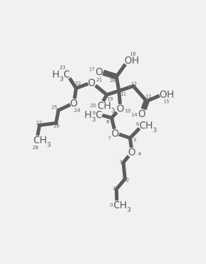 CCCCOC(C)OC(C)OC(CC(=O)O)(C(=O)O)C(C)OC(C)OCCCC